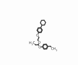 CCc1ccc(OC(CC)OCCOc2ccc(C3CCCCC3)cc2)cc1